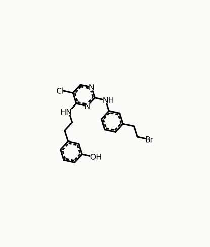 Oc1cccc(CCNc2nc(Nc3cccc(CCBr)c3)ncc2Cl)c1